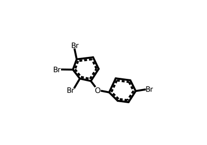 Brc1ccc(Oc2ccc(Br)c(Br)c2Br)cc1